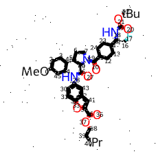 COC1CCC([C@@H]2CCN(C(=O)C3CCC([C@@H](CF)NC(=O)OC(C)(C)C)CC3)[C@H]2C(=O)Nc2ccc3oc(C(=O)OCCC(C)C)cc3c2)CC1